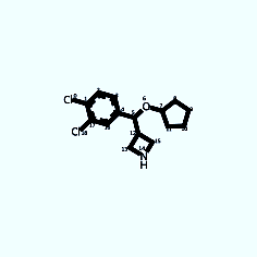 Clc1ccc(C(OC2CCCC2)C2CNC2)cc1Cl